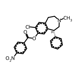 CN1CCc2cc(Cl)c(OC(=O)c3ccc([N+](=O)[O-])cc3)cc2[C@@H](c2ccccc2)C1